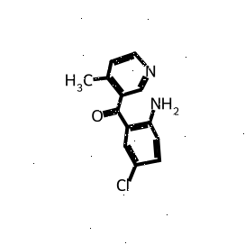 Cc1ccncc1C(=O)c1cc(Cl)ccc1N